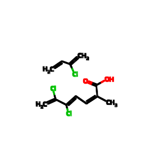 C=C(Cl)C(Cl)=CC=C(C)C(=O)O.C=CC(=C)Cl